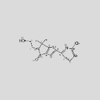 CC1(C)c2sc(-c3ccnc(Cl)n3)cc2C(=O)N1CCO